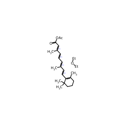 CC(=O)OC(=O)/C=C(C)/C=C/C=C(C)/C=C/C1=C(C)CCCC1(C)C.CCOCC